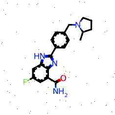 CC1CCCN1Cc1ccc(-c2nc3c(C(N)=O)cc(F)cc3[nH]2)cc1